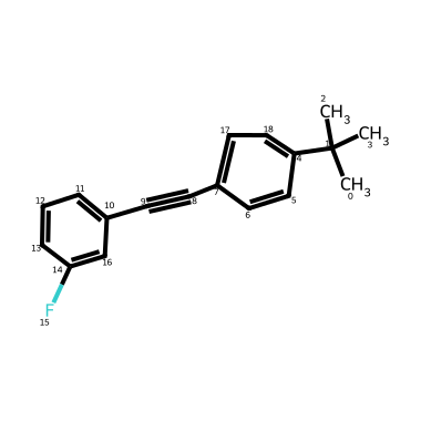 CC(C)(C)c1ccc(C#Cc2cccc(F)c2)cc1